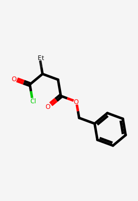 CCC(CC(=O)OCc1ccccc1)C(=O)Cl